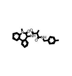 Cc1ccc(CNC(=O)C(C)C(=O)NC2C(=O)N(C)c3ccccc3-c3ccccc32)cc1